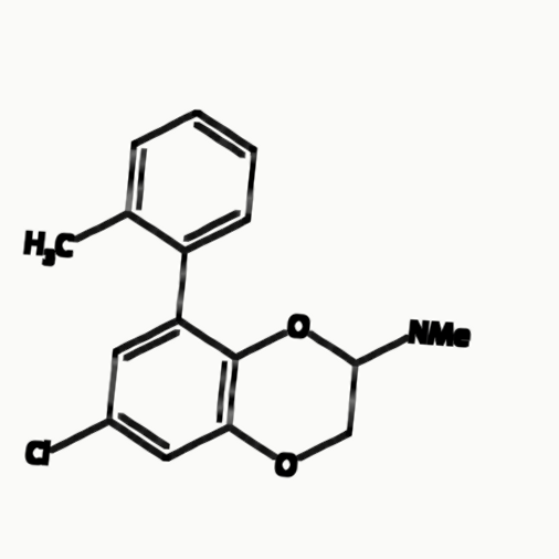 CNC1COc2cc(Cl)cc(-c3ccccc3C)c2O1